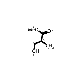 COC(=O)[C](C)CO